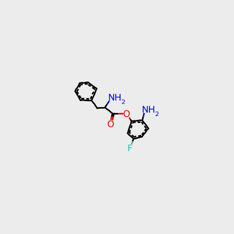 Nc1ccc(F)cc1OC(=O)C(N)Cc1ccccc1